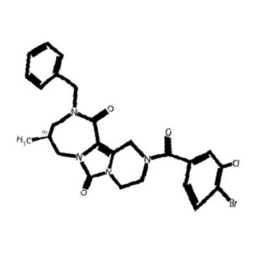 C[C@H]1CN(Cc2ccccc2)C(=O)c2c3n(c(=O)n2C1)CCN(C(=O)c1ccc(Br)c(Cl)c1)C3